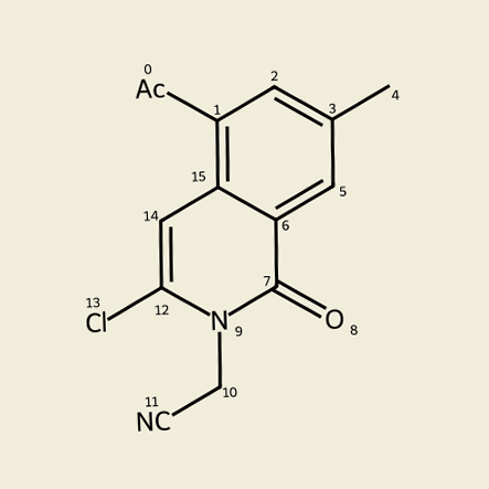 CC(=O)c1cc(C)cc2c(=O)n(CC#N)c(Cl)cc12